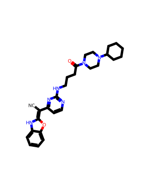 N#C/C(=C1\Nc2ccccc2O1)c1ccnc(NCCCC(=O)N2CCN(C3CCCCC3)CC2)n1